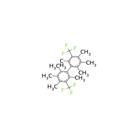 Cc1c(C)c(-c2c(C)c(C)c(C)c(C(F)(F)F)c2C)c(C)c(C(F)(F)F)c1C